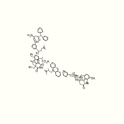 C=CCC1(CC(C)C)C(=O)NC(=O)NC1=O.CC(C)Cc1ccc(C(C)C(=O)O)cc1.CC(CN1c2ccccc2Sc2ccccc21)N(C)C.CC[C@@H](c1cccc(O)c1)[C@@H](C)CN(C)C.NC(=O)C[S+]([O-])C(c1ccccc1)c1ccccc1.O=C(O)c1cccnc1.O=C1CC[C@@]2(O)[C@H]3Cc4ccc(O)c5c4[C@@]2(CCN3CC2CC2)[C@H]1O5